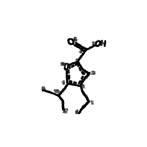 CCc1cc(C(=O)O)oc1C(C)C